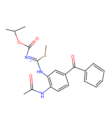 CS/C(=N\C(=O)OC(C)C)Nc1cc(C(=O)c2ccccc2)ccc1NC(C)=O